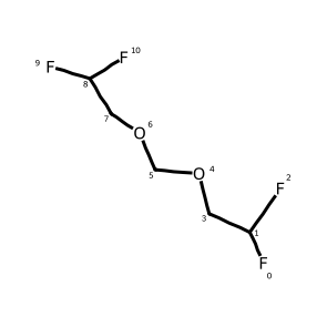 FC(F)COCOCC(F)F